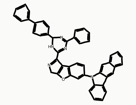 c1ccc(C2=NC(c3ccc(-c4ccccc4)cc3)NC(C3=NCc4oc5cc(-n6c7ccccc7c7cc8ccccc8cc76)ccc5c43)=N2)cc1